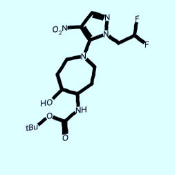 CC(C)(C)OC(=O)NC1CCN(c2c([N+](=O)[O-])cnn2CC(F)F)CCC1O